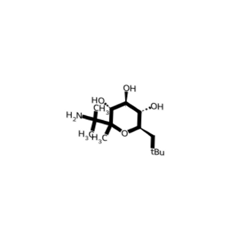 CC(C)(C)C[C@H]1OC(C)(C(C)(C)N)[C@H](O)[C@@H](O)[C@@H]1O